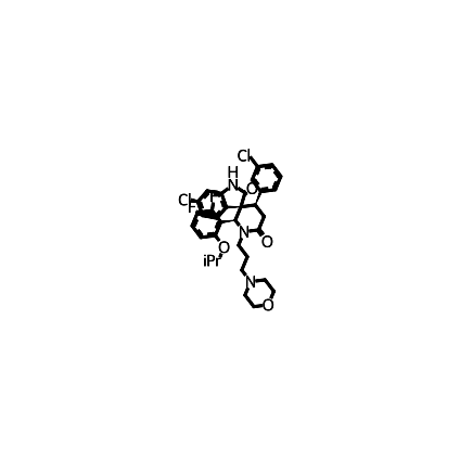 CC(C)Oc1ccc(F)c(F)c1[C@@H]1N(CCCN2CCOCC2)C(=O)C[C@H](c2cccc(Cl)c2)[C@@]12C(=O)Nc1cc(Cl)ccc12